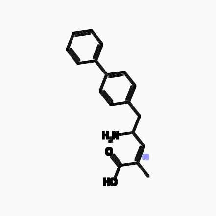 C/C(=C/C(N)Cc1ccc(-c2ccccc2)cc1)C(=O)O